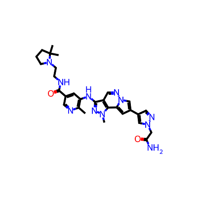 Cc1ncc(C(=O)NCCN2CCCC2(C)C)cc1Nc1nn(C)c2c1cnn1cc(-c3cnn(CC(N)=O)c3)cc21